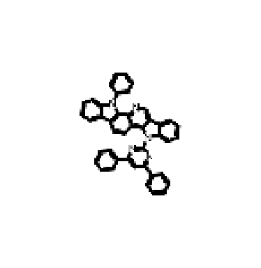 c1ccc(-c2cc(-c3ccccc3)nc(-n3c4ccccc4c4cnc5c(ccc6c7ccccc7n(-c7ccccc7)c65)c43)n2)cc1